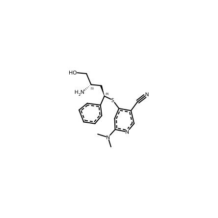 CN(C)c1cc(S[C@H](C[C@H](N)CO)c2ccccc2)c(C#N)cn1